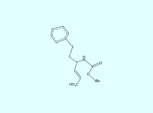 CC(C)(C)OC(=O)NC(C=CC(=O)O)CSc1ccccc1